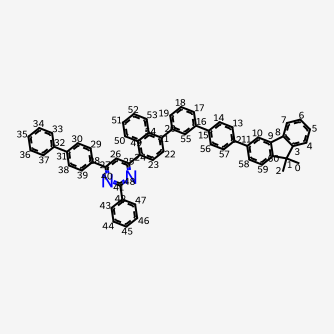 CC1(C)c2ccccc2-c2cc(-c3ccc(-c4cccc(-c5ccc(-c6cc(-c7ccc(-c8ccccc8)cc7)nc(-c7ccccc7)n6)c6ccccc56)c4)cc3)ccc21